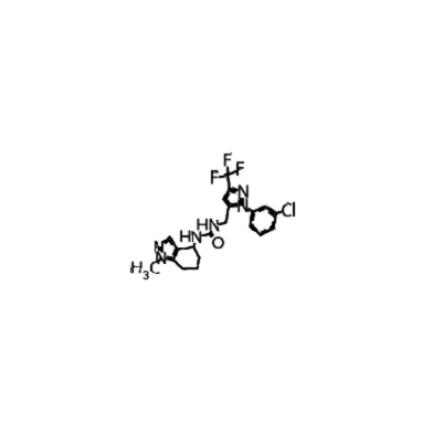 Cn1ncc2c1CCCC2NC(=O)NCc1cc(C(F)(F)F)nn1-c1cccc(Cl)c1